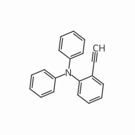 C#Cc1ccccc1N(c1ccccc1)c1ccccc1